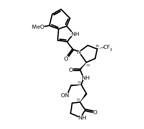 COc1cccc2[nH]c(C(=O)N3C[C@H](C(F)(F)F)C[C@H]3C(=O)N[C@H](CN=O)C[C@@H]3CCNC3=O)cc12